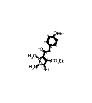 CCOC(=O)C1=C(C(=O)Cc2ccc(OC)cc2)N(C)N(N)C1CC